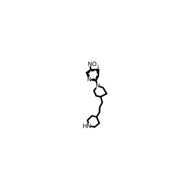 O=[N+]([O-])c1ccc(N2CCC(CCCC3CCNCC3)CC2)nc1